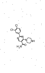 NC(=O)c1cnc(-c2ccc(Cl)c(Cl)c2)nc1N1CCNCC1